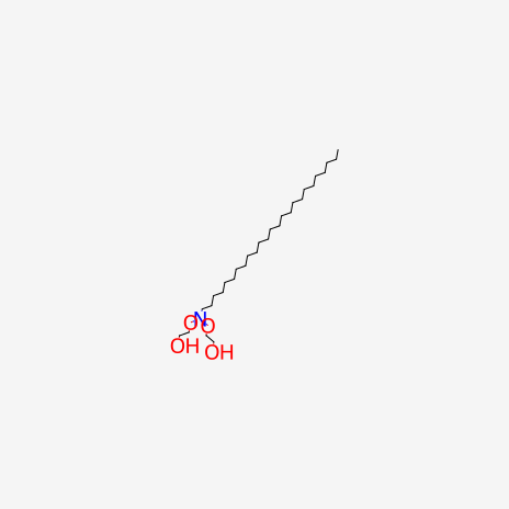 CCCCCCCCCCCCCCCCCCCCCCCCCN(OCCO)OCCO